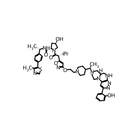 Cc1ncsc1-c1ccc([C@H](C)NC(=O)[C@@H]2C[C@@H](O)CN2C(=O)[C@@H](c2cc(OCCN3CCC([C@@H](C)N4CCN5c6cc(-c7ccccc7O)nnc6NC[C@@H]5C4)CC3)no2)C(C)C)cc1